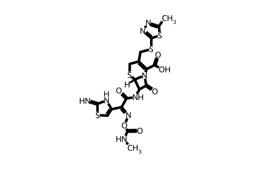 CNC(=O)ON=C(C(=O)NC1C(=O)N2C(C(=O)O)=C(CSc3nnc(C)s3)CS[C@@H]12)c1csc(=N)[nH]1